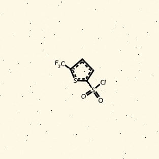 O=S(=O)(Cl)c1ccc(C(F)(F)F)s1